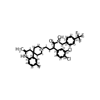 C=C1CC2(CCN(CCC(C(=O)N(C)Cc3ccc(C(F)(F)F)cc3)c3ccc(Cl)c(Cl)c3)CC2)c2cc(F)ccc2N1